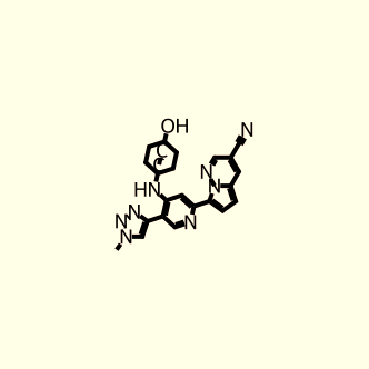 Cn1cc(-c2cnc(-c3ccc4cc(C#N)cnn34)cc2NC23CCC(O)(CC2)CC3)nn1